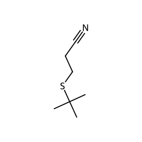 CC(C)(C)SCCC#N